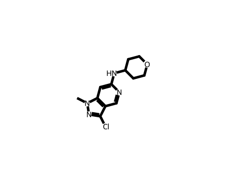 Cn1nc(Cl)c2cnc(NC3CCOCC3)cc21